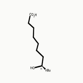 CCCC[C@@H](O)CCCCCCC(=O)O